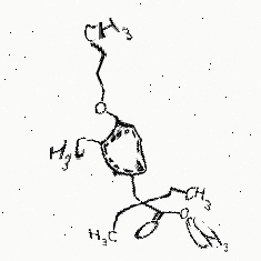 CCCCOc1ccc(C(CC)(CC)C(=O)OC)cc1C